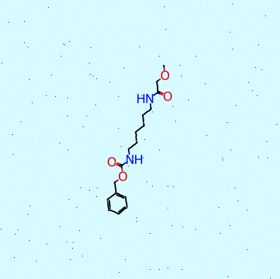 COCC(=O)NCCCCCCNC(=O)OCc1ccccc1